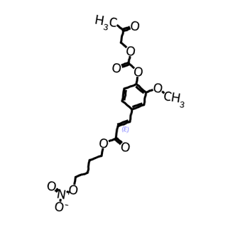 COc1cc(/C=C/C(=O)OCCCCO[N+](=O)[O-])ccc1OC(=O)OCC(C)=O